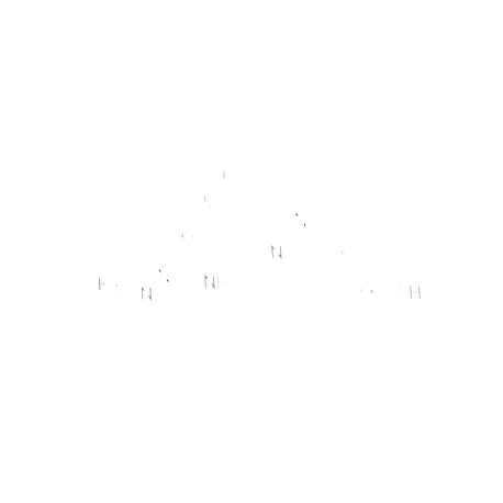 CC(C)Oc1cc2nc(C34CCC(C)(C3)OC4)cn2cc1C(=O)Nc1ccn(C(F)(F)F)n1